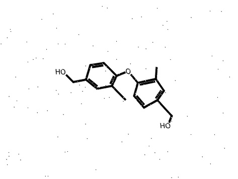 Cc1cc(CO)ccc1Oc1ccc(CO)cc1C